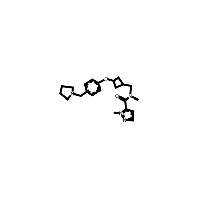 CN(CC1CC(Oc2ccc(CN3CCCC3)cc2)C1)C(=O)c1ccnn1C